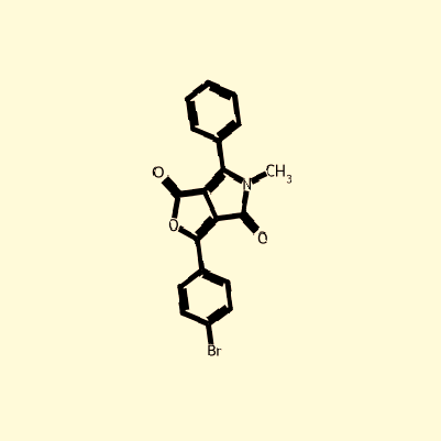 CN1C(=O)C2=C(c3ccc(Br)cc3)OC(=O)C2=C1c1ccccc1